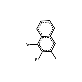 Cc1cc2ccccc2c(Br)c1Br